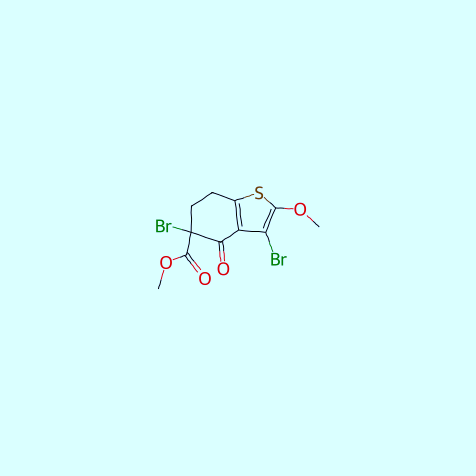 COC(=O)C1(Br)CCc2sc(OC)c(Br)c2C1=O